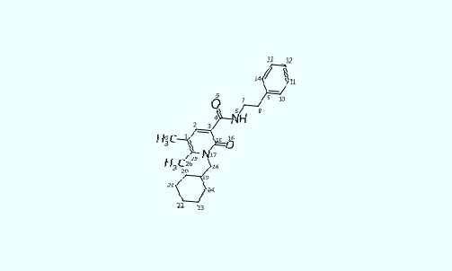 Cc1cc(C(=O)NCCc2ccccc2)c(=O)n(CC2CCCCC2)c1C